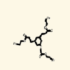 CC(C)CCOC(=O)CCC1CC(CCC(=O)OCCC(C)C)CC(CCC(=O)OCCC(C)C)C1